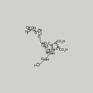 N#C[C@H]1CC(F)(F)CN1C(=O)CNC(=O)c1ccnc2ccc(OCCCCC3CCN(C(=O)CC/C=N\NC(CCCCNC(=O)CCCc4ccc(I)cc4)NC(=O)CN4CCN(CC(=O)O)CCN(CC(=O)O)CCN(CC(=O)O)CC4)CC3)cc12